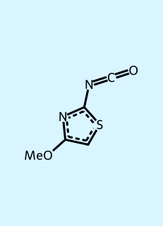 COc1csc(N=C=O)n1